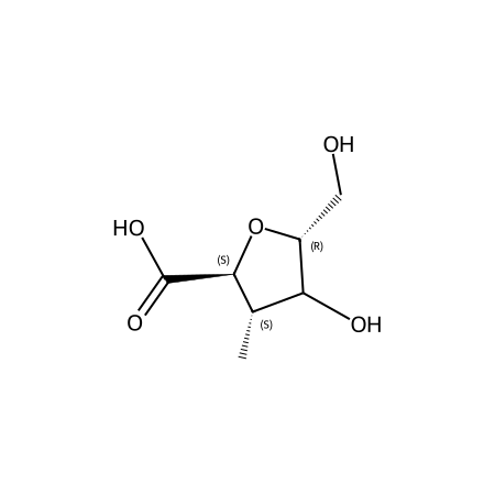 C[C@H]1C(O)[C@@H](CO)O[C@@H]1C(=O)O